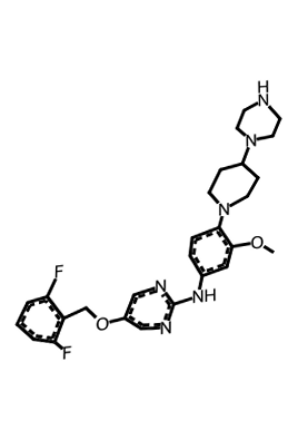 COc1cc(Nc2ncc(OCc3c(F)cccc3F)cn2)ccc1N1CCC(N2CCNCC2)CC1